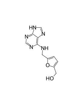 OCc1ccc(CNc2ncnc3[nH]cnc23)o1